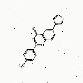 O=c1nc(-c2ccc(C(F)(F)F)cc2)oc2ccc(-c3ccsc3)cc12